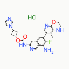 Cc1c(-c2cc3cc(NC(=O)OC4CC(n5ccnc5)C4)ncc3c(N)c2F)cnc2c1NCCO2.Cl